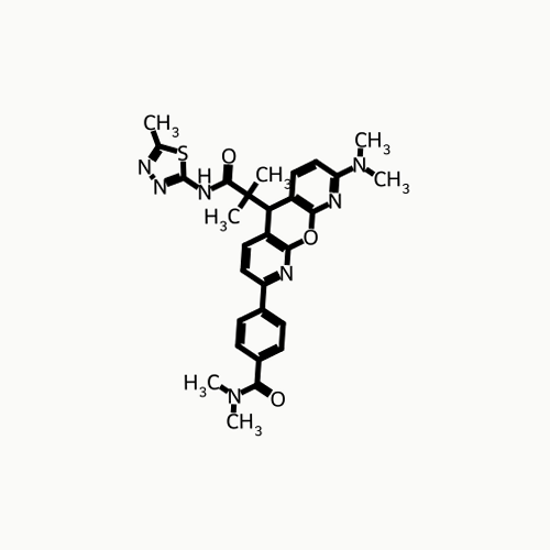 Cc1nnc(NC(=O)C(C)(C)C2c3ccc(-c4ccc(C(=O)N(C)C)cc4)nc3Oc3nc(N(C)C)ccc32)s1